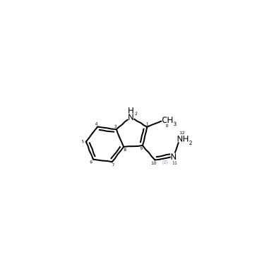 Cc1[nH]c2ccccc2c1/C=N\N